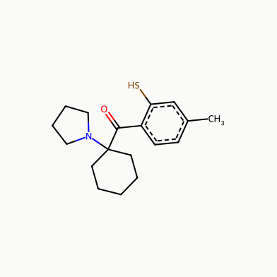 Cc1ccc(C(=O)C2(N3CCCC3)CCCCC2)c(S)c1